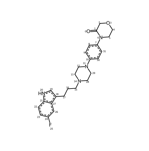 O=C1COCCN1c1ccc(N2CCN(CCCc3c[nH]c4ccc(F)cc34)CC2)cc1